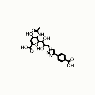 CC(=O)NC1C(C(O)C(O)Cn2cc(-c3ccc(C(=O)O)cc3)nn2)OC(C(=O)O)=C[C@H]1O